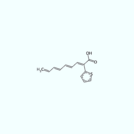 C=C/C=C/C=C/C=C(/C(=O)O)c1cccs1